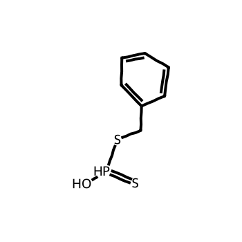 O[PH](=S)SCc1ccccc1